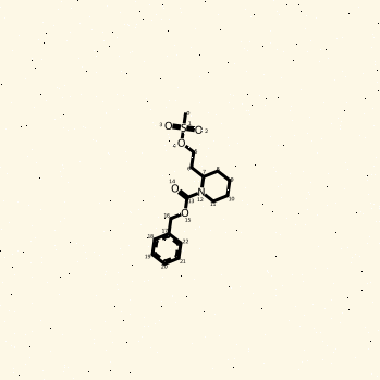 CS(=O)(=O)OCCC1CCCCN1C(=O)OCc1ccccc1